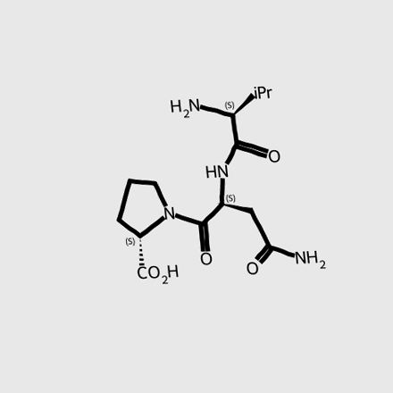 CC(C)[C@H](N)C(=O)N[C@@H](CC(N)=O)C(=O)N1CCC[C@H]1C(=O)O